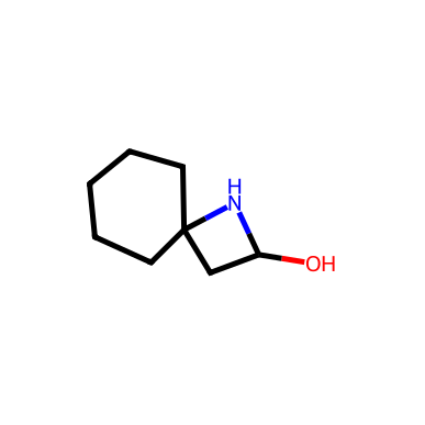 OC1CC2(CCCCC2)N1